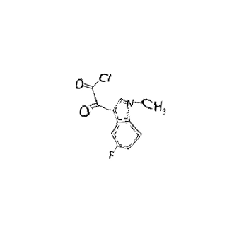 Cn1cc(C(=O)C(=O)Cl)c2cc(F)ccc21